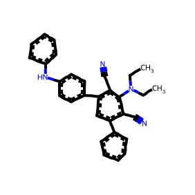 CCN(CC)c1c(C#N)c(-c2ccccc2)cc(-c2ccc(Nc3ccccc3)cc2)c1C#N